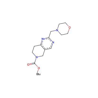 CC(C)(C)OC(=O)N1CCc2nc(CN3CCOCC3)ncc2C1